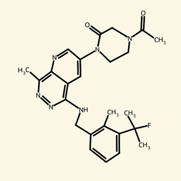 CC(=O)N1CCN(c2cnc3c(C)nnc(NCc4cccc(C(C)(C)F)c4C)c3c2)C(=O)C1